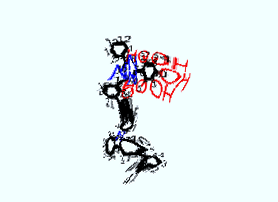 Oc1c(O)c(O)c(-c2nc(-c3ccccc3)nc(-c3cccc4c3oc3ccc(-n5c6ccccc6c6cc(-c7ccccc7)ccc65)cc34)n2)c(O)c1O